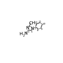 Cc1nc(N)cn1-c1ccccc1